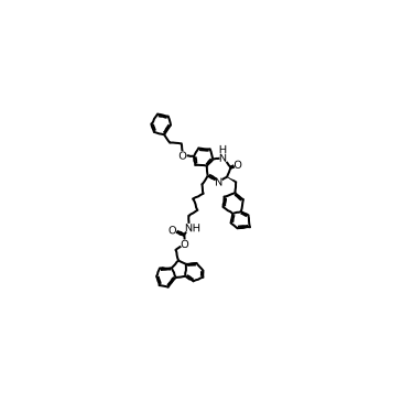 O=C(NCCCCCC1=N[C@H](Cc2ccc3ccccc3c2)C(=O)Nc2ccc(OCCc3ccccc3)cc21)OCC1c2ccccc2-c2ccccc21